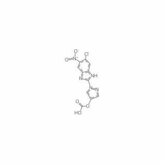 O=C(O)Oc1cnn(-c2nc3cc([N+](=O)[O-])c(Cl)cc3[nH]2)c1